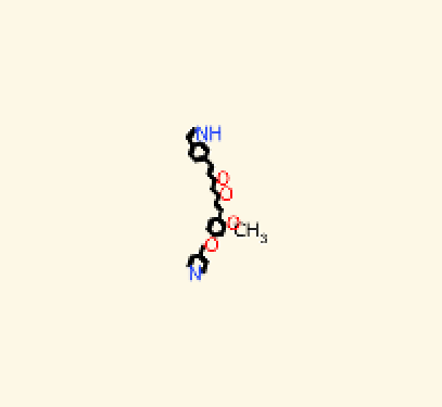 COc1cc(OCc2ccncc2)ccc1C=CC(=O)CC(=O)C=Cc1ccc2cc[nH]c2c1